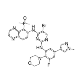 Cn1cc(-c2cc(F)c(N3CCOCC3)c(Nc3ncc(Br)c(Nc4ccc5nccnc5c4P(C)(C)=O)n3)c2)cn1